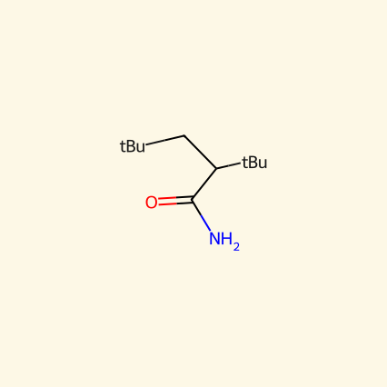 CC(C)(C)CC(C(N)=O)C(C)(C)C